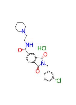 Cl.O=C(NCCN1CCCCC1)c1ccc2c(c1)C(=O)N(Cc1cccc(Cl)c1)C2=O